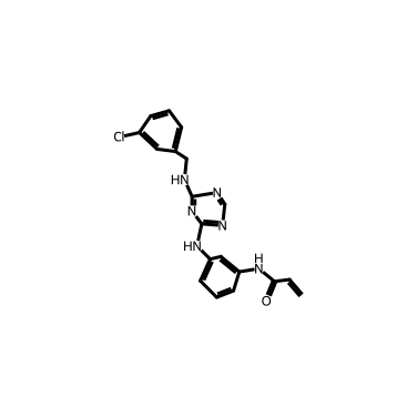 C=CC(=O)Nc1cccc(Nc2ncnc(NCc3cccc(Cl)c3)n2)c1